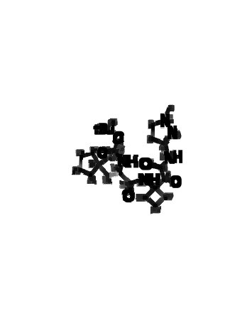 CN1CCC(NC(=O)C(=O)C2(NC(=O)[C@H](CC3(C)CCCC3)NC(=O)OC(C)(C)C)CCC2)=N1